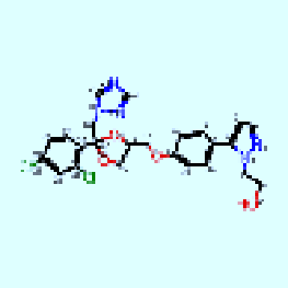 OCCn1nccc1-c1ccc(OCC2COC(Cn3cncn3)(c3ccc(Cl)cc3Cl)O2)cc1